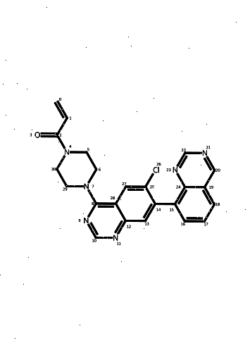 C=CC(=O)N1CCN(c2ncnc3cc(-c4cccc5cncnc45)c(Cl)cc23)CC1